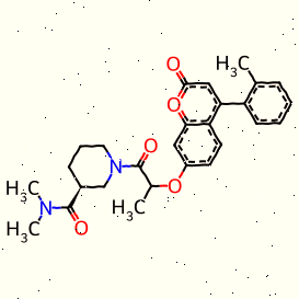 Cc1ccccc1-c1cc(=O)oc2cc(OC(C)C(=O)N3CCC[C@H](C(=O)N(C)C)C3)ccc12